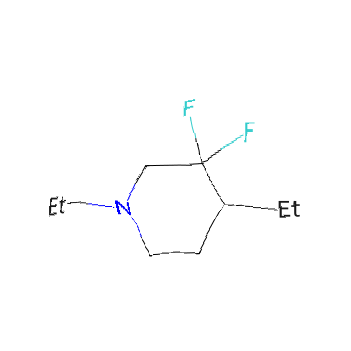 CCC1CCN(CC)CC1(F)F